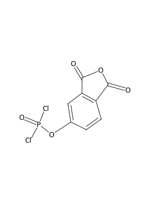 O=C1OC(=O)c2cc(OP(=O)(Cl)Cl)ccc21